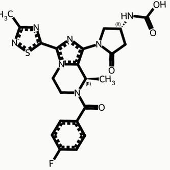 Cc1nsc(-c2nc(N3C[C@H](NC(=O)O)CC3=O)c3n2CCN(C(=O)c2ccc(F)cc2)[C@@H]3C)n1